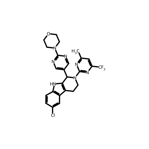 Cc1cc(C(F)(F)F)nc(N2CCc3c([nH]c4ccc(Cl)cc34)C2c2cnc(N3CCOCC3)nc2)n1